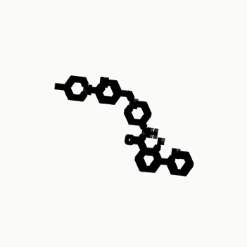 CC1CCN(c2ccc(CN3CCC(NC(=O)c4cccc(-c5ccccn5)c4F)CC3)cn2)CC1